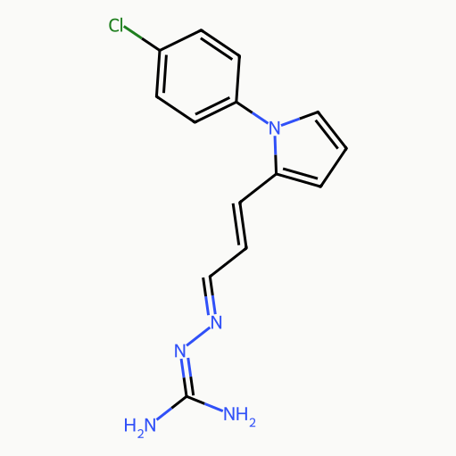 NC(N)=N/N=C/C=C/c1cccn1-c1ccc(Cl)cc1